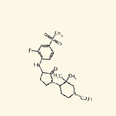 CC1(C)CN(C(=O)O)CCC1N1CCC(Nc2ccc(S(C)(=O)=O)cc2F)C1=O